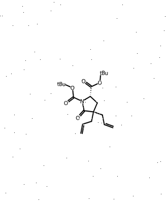 C=CCC1(CC=C)C[C@@H](C(=O)OC(C)(C)C)N(C(=O)OC(C)(C)C)C1=O